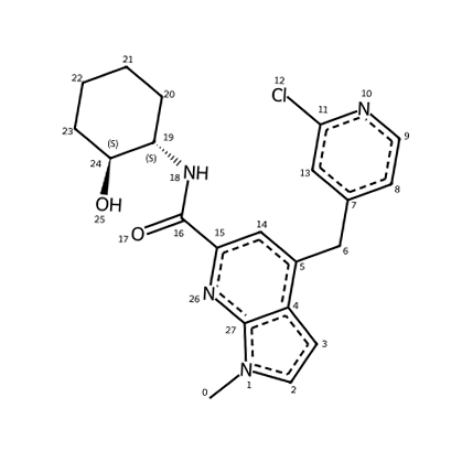 Cn1ccc2c(Cc3ccnc(Cl)c3)cc(C(=O)N[C@H]3CCCC[C@@H]3O)nc21